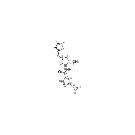 C[C@H]1CN(Cc2ccsc2)CC1NC(=O)c1cc(C2CC2)on1